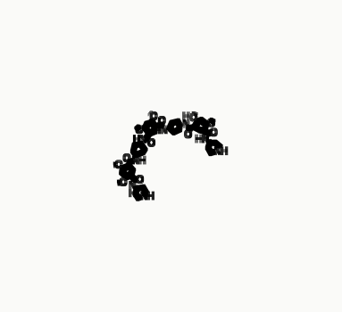 COc1cc(OC)c(C(=O)N[C@H]2CC[C@@H](NC(=O)c3cc(C(=O)N[C@H]4CC[C@@H](NC(=O)c5cc(C(=O)NC6CCNCC6)c(OC)cc5OC)CC4)c(OC)cc3OC)CC2)cc1C(=O)NC1CCNCC1